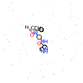 CC1(C)OC(=O)N(C2CCC(NC(=O)c3ccnc4[nH]ccc34)CC2)C1c1ccccc1